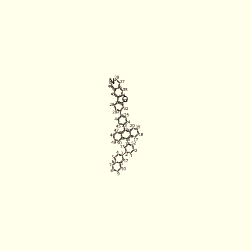 c1cc(-c2ccc3ccccc3c2)cc(-c2c3ccccc3c(-c3ccc(-c4ccc5c(c4)oc4cc6ccncc6cc45)cc3)c3ccccc23)c1